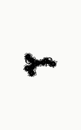 c1ccc(-c2nc3c(ccc4cc(-c5ccc(N(c6ccc7c(c6)oc6ccccc67)c6ccc7c(c6)c6ccccc6n7-c6ccccc6)cc5)ccc43)o2)cc1